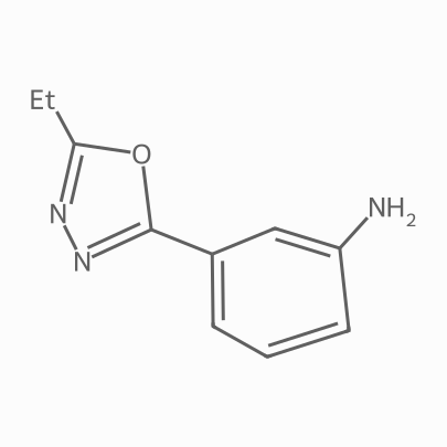 CCc1nnc(-c2cccc(N)c2)o1